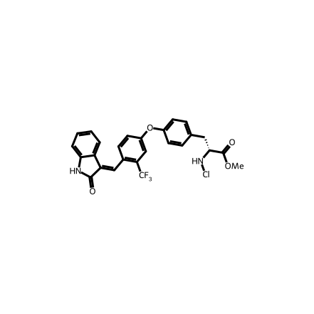 COC(=O)[C@@H](Cc1ccc(Oc2ccc(/C=C3/C(=O)Nc4ccccc43)c(C(F)(F)F)c2)cc1)NCl